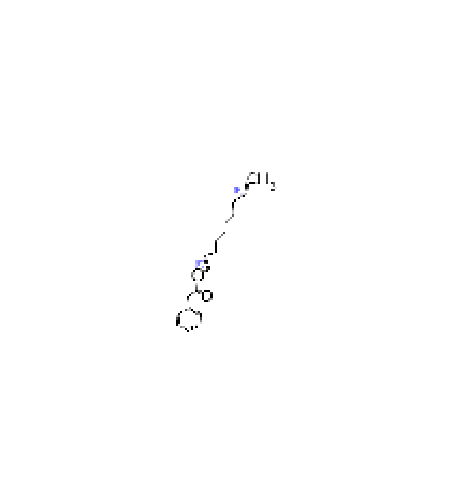 C/C=C/CCCCCC/C=C/OC(=O)Cc1ccccc1